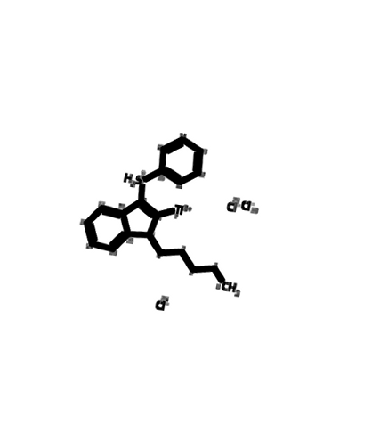 CCCCCC1[C]([Ti+3])=C([SiH2]c2ccccc2)c2ccccc21.[Cl-].[Cl-].[Cl-]